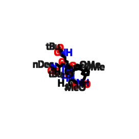 CCCCCCCCCCN(CCC(=O)N[C@@H](CCCCNC(=O)OC(C)(C)C)C(=O)N(C)[C@@H]1C(=O)N[C@@H](C)C(=O)N[C@H](C(=O)OC)Cc2ccc(OC)c(c2)-c2cc1ccc2OC)C(=O)OC(C)(C)C